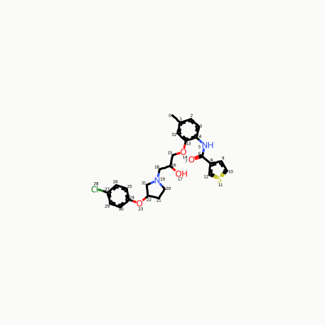 Cc1ccc(NC(=O)c2ccsc2)c(OCC(O)CN2CCC(Oc3ccc(Cl)cc3)C2)c1